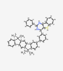 CC1(C)c2ccccc2-c2cc3c(cc21)-c1cc(-c2cccc(-c4nc(-c5ccccc5)nc5c4sc4ccccc45)c2)ccc1C3(C)C